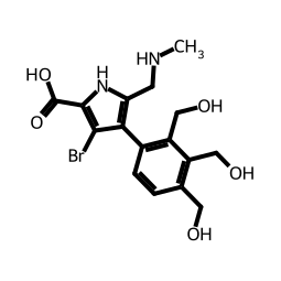 CNCc1[nH]c(C(=O)O)c(Br)c1-c1ccc(CO)c(CO)c1CO